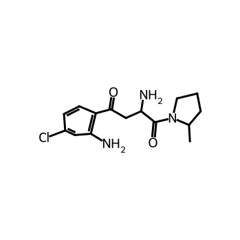 CC1CCCN1C(=O)C(N)CC(=O)c1ccc(Cl)cc1N